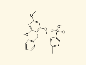 COc1cc(OC)c([I+]c2ccccc2)c(OC)c1.Cc1ccc(S(=O)(=O)[O-])cc1